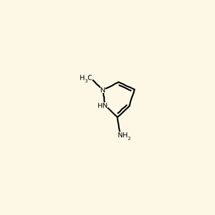 CN1C=CC=C(N)N1